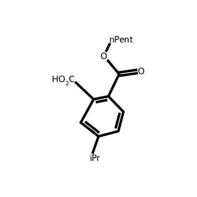 CCCCCOC(=O)c1ccc(C(C)C)cc1C(=O)O